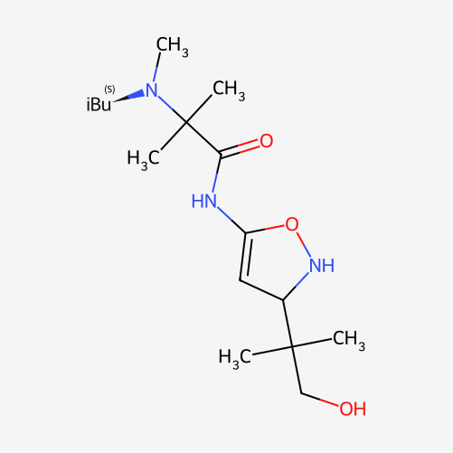 CC[C@H](C)N(C)C(C)(C)C(=O)NC1=CC(C(C)(C)CO)NO1